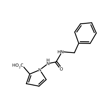 O=C(NCc1ccccc1)Nn1cccc1C(=O)O